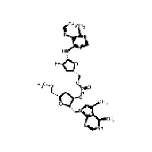 C=C1NC=Nc2c1c(C)cn2C[C@@H]1O[C@H](COC)C[C@H]1O[PH](=O)OC[C@@H]1C[C@@H](F)[C@H](Nc2ncnc(N)c2/N=C\C)O1